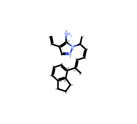 C=Cc1cnn(C(C)/C=C\C=C(/C)c2cccc3c2CCC3)c1N